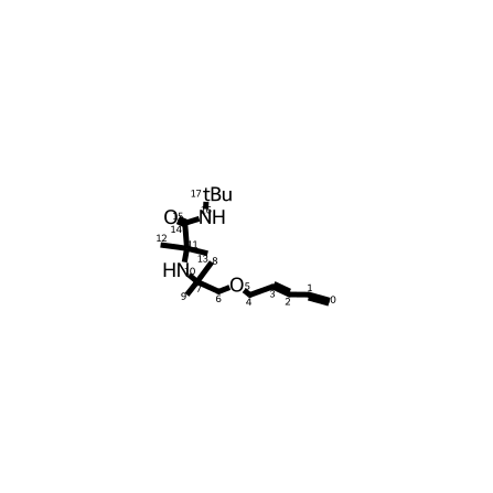 C=C/C=C/COCC(C)(C)NC(C)(C)C(=O)NC(C)(C)C